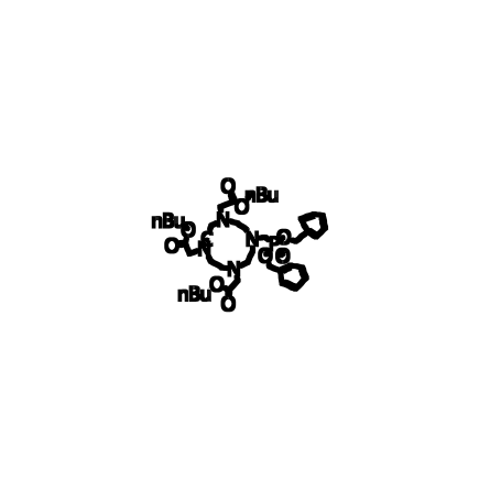 CCCCOC(=O)CN1CCN(CC(=O)OCCCC)CCN(CP(=O)(OCc2ccccc2)OCc2ccccc2)CCN(CC(=O)OCCCC)CC1